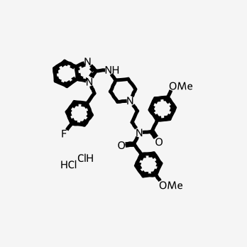 COc1ccc(C(=O)N(CCN2CCC(Nc3nc4ccccc4n3Cc3ccc(F)cc3)CC2)C(=O)c2ccc(OC)cc2)cc1.Cl.Cl